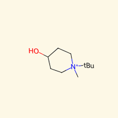 CC(C)(C)[N+]1(C)CCC(O)CC1